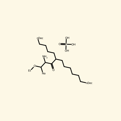 CCCCCCCCCCCCCCCCC(CCCCCCCCCCCCCC)C(=O)C(N)[CH]([Na])OCC.O=P(O)(O)O